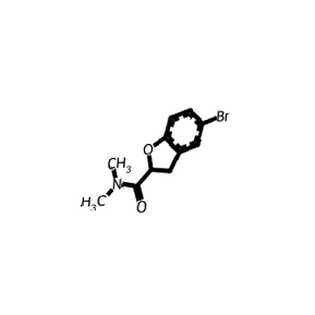 CN(C)C(=O)C1Cc2cc(Br)ccc2O1